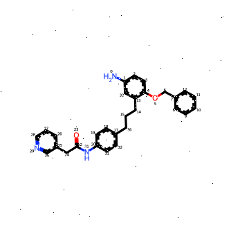 Nc1ccc(OCc2ccccc2)c(CCCc2ccc(NC(=O)Cc3cccnc3)cc2)c1